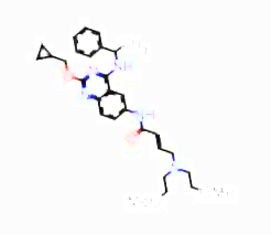 COCCN(CC=CC(=O)Nc1ccc2nc(OCC3CC3)nc(NC(C)c3ccccc3)c2c1)CCOC